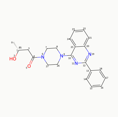 C[C@@H](O)CC(=O)N1CCN(c2nc(-c3ccccc3)nc3ccccc23)CC1